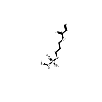 C=CC(=O)OCCCOP(=O)(CC)OCC